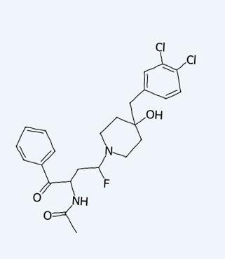 CC(=O)NC(CC(F)N1CCC(O)(Cc2ccc(Cl)c(Cl)c2)CC1)C(=O)c1ccccc1